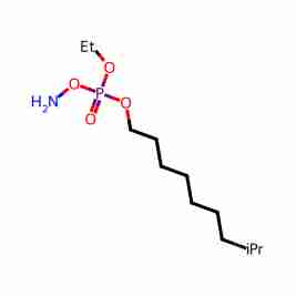 CCOP(=O)(ON)OCCCCCCCC(C)C